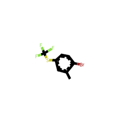 Cc1cc(SC(F)(F)F)ccc1Br